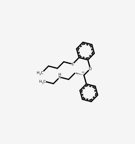 CCCCSc1ccccc1O[C@@H](CCNCC)c1ccccc1